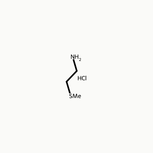 CSCCN.Cl